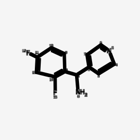 NC(c1ccncc1)c1ccc(F)cc1F